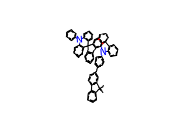 CC1(C)c2ccccc2-c2ccc(-c3ccc(N(c4ccccc4-c4ccccc4)c4cccc5c4-c4ccccc4C54c5ccccc5N(c5ccccc5)c5ccccc54)cc3)cc21